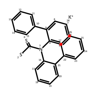 S=C([S-])N(c1ccccc1-c1ccccc1)c1ccccc1-c1ccccc1.[K+]